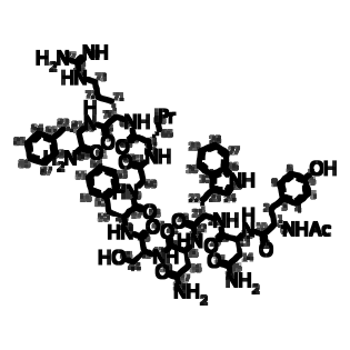 CC(=O)N[C@@H](Cc1ccc(O)cc1)C(=O)N[C@@H](CC(N)=O)C(=O)N[C@@H](Cc1c[nH]c2ccccc12)C(=O)N[C@@H](CC(N)=O)C(=O)N[C@@H](CO)C(=O)N[C@@H](Cc1ccccc1)C(=O)NCC(=O)N[C@@H](CC(C)C)C(=O)N[C@@H](CCCNC(=N)N)C(=O)N[C@@H](Cc1ccccc1)C(N)=O